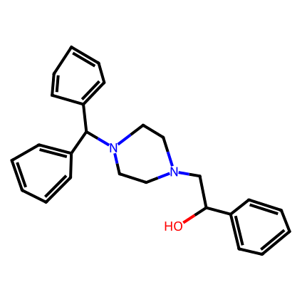 OC(CN1CCN(C(c2ccccc2)c2ccccc2)CC1)c1ccccc1